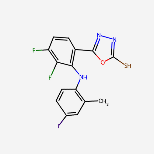 Cc1cc(I)ccc1Nc1c(-c2nnc(S)o2)ccc(F)c1F